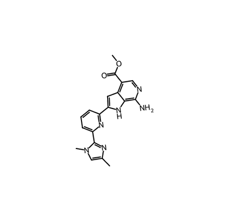 COC(=O)c1cnc(N)c2[nH]c(-c3cccc(-c4nc(C)cn4C)n3)cc12